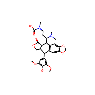 COc1cc(C2c3cc4c(cc3C(C(CCN(C)C(=O)O)N(C)C)C3C(=O)OCC23)OCO4)cc(OC)c1O